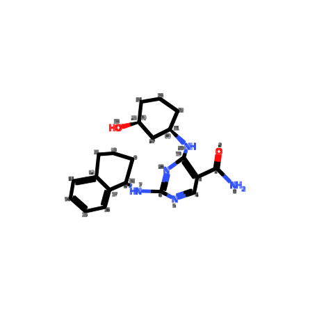 NC(=O)c1cnc(N[C@H]2CCCc3ccccc32)nc1N[C@@H]1CCC[C@H](O)C1